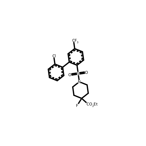 CCOC(=O)C1(F)CCN(S(=O)(=O)c2ccc(C(F)(F)F)cc2-c2ccccc2Cl)CC1